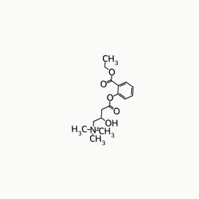 CCOC(=O)c1ccccc1OC(=O)CC(O)C[N+](C)(C)C